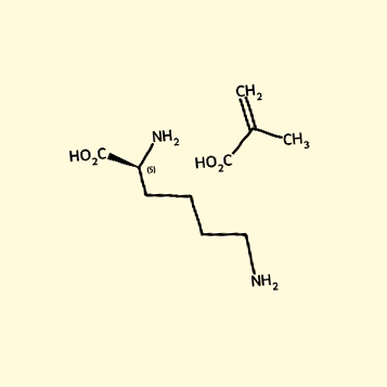 C=C(C)C(=O)O.NCCCC[C@H](N)C(=O)O